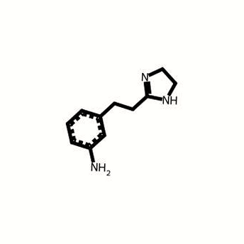 Nc1cccc(CCC2=NCCN2)c1